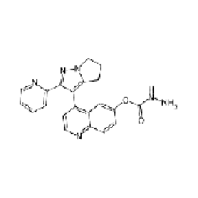 NNC(=O)Oc1ccc2nccc(-c3c(-c4ccccn4)nn4c3CCC4)c2c1